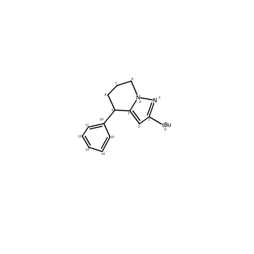 CC(C)(C)c1cc2n(n1)CCCC2c1ccccc1